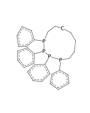 c1ccc(P2CCCCCCCP(c3ccccc3)P(c3ccccc3)P2c2ccccc2)cc1